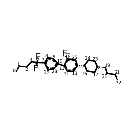 CCCCC(F)(F)c1ccc(-c2ccc([C@H]3CC[C@H](CCCC)CC3)cc2F)cc1